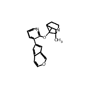 CC1C(Oc2ncccc2-c2cc3ccocc-3c2)C2CCN1CC2